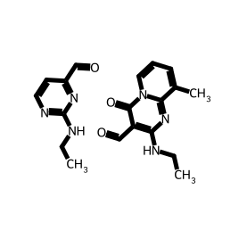 CCNc1nc2c(C)cccn2c(=O)c1C=O.CCNc1nccc(C=O)n1